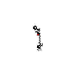 N#Cc1ccc2c(cnn2CCCCCCC23CC(C(=O)N4CCC4c4ccccc4)(C2)C3)c1